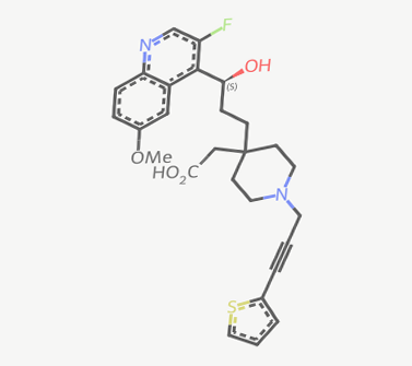 COc1ccc2ncc(F)c([C@@H](O)CCC3(CC(=O)O)CCN(CC#Cc4cccs4)CC3)c2c1